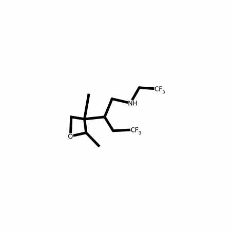 CC1OCC1(C)C(CNCC(F)(F)F)CC(F)(F)F